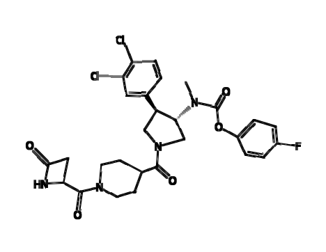 CN(C(=O)Oc1ccc(F)cc1)[C@@H]1CN(C(=O)C2CCN(C(=O)C3CC(=O)N3)CC2)C[C@H]1c1ccc(Cl)c(Cl)c1